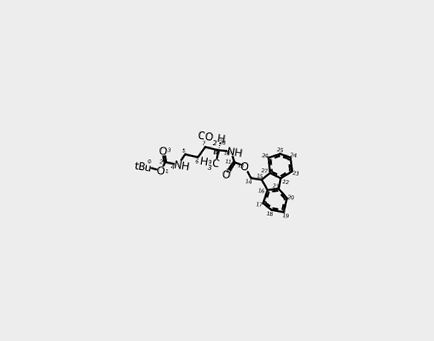 CC(C)(C)OC(=O)NCCC[C@](C)(NC(=O)OCC1c2ccccc2-c2ccccc21)C(=O)O